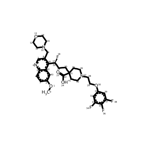 COc1ccc2ncc(CN3CCOCC3)c([C@@H](F)CCC3(C(=O)O)CCN(CCOc4cc(F)c(F)c(F)c4)CC3)c2c1